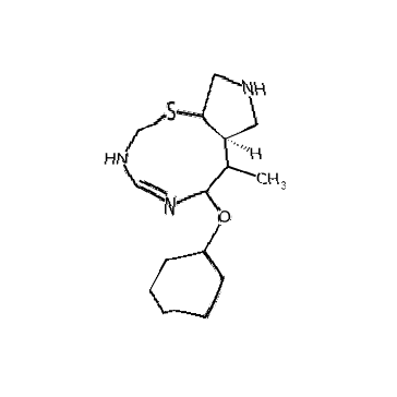 CC1C(OC2CCCCC2)/N=C\NCSC2CNC[C@H]21